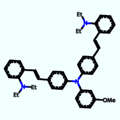 CCN(CC)c1ccccc1C=Cc1ccc(N(c2ccc(C=Cc3ccccc3N(CC)CC)cc2)c2cccc(OC)c2)cc1